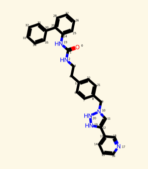 O=C(NCCc1ccc(CN2C=C(c3cccnc3)NN2)cc1)Nc1ccccc1-c1ccccc1